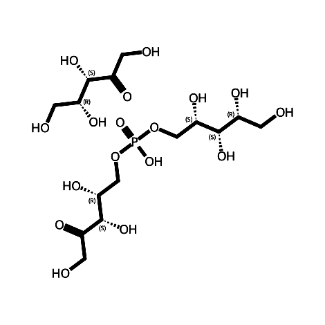 O=C(CO)[C@@H](O)[C@H](O)CO.O=C(CO)[C@@H](O)[C@H](O)COP(=O)(O)OC[C@H](O)[C@@H](O)[C@H](O)CO